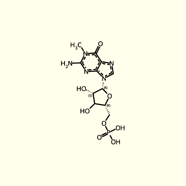 Cn1c(N)nc2c(ncn2[C@@H]2O[C@H](COP(=O)(O)O)C(O)[C@@H]2O)c1=O